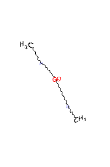 CCCCCCCC/C=C/CCCCCCCCCCCC(=O)OCCCCCCCCCC/C=C/CCCCCCCC